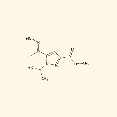 COC(=O)c1cc(C(Cl)=NO)n(C(C)C)n1